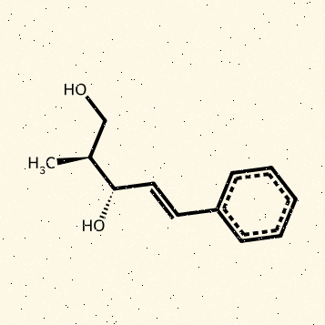 C[C@@H](CO)[C@@H](O)/C=C/c1ccccc1